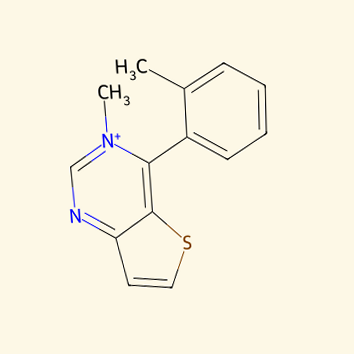 Cc1ccccc1-c1c2sccc2nc[n+]1C